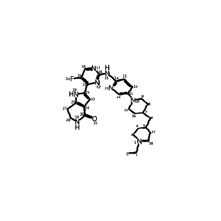 CCN1CCC(CC2CCN(c3ccc(Nc4ncc(F)c(-c5cc6c([nH]5)CCNC6=O)n4)nc3)CC2)CC1